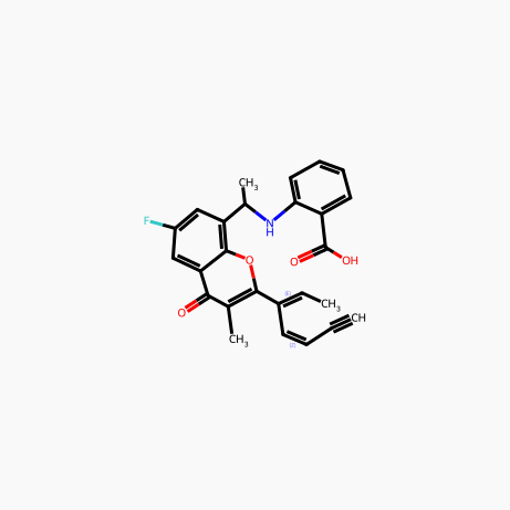 C#C/C=C\C(=C/C)c1oc2c(C(C)Nc3ccccc3C(=O)O)cc(F)cc2c(=O)c1C